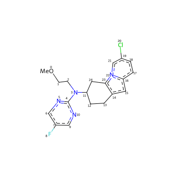 COCCN(c1ncc(F)cn1)C1CCc2cc3ccc(Cl)cn3c2C1